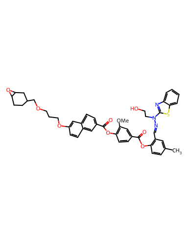 COc1cc(C(=O)Oc2ccc(C)cc2/C=N/N(CCO)c2nc3ccccc3s2)ccc1OC(=O)c1ccc2cc(OCCCOCC3CCC4OC4C3)ccc2c1